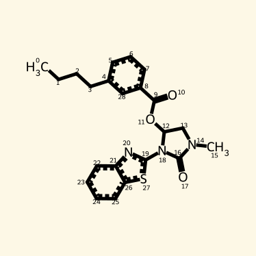 CCCCc1cccc(C(=O)OC2CN(C)C(=O)N2c2nc3ccccc3s2)c1